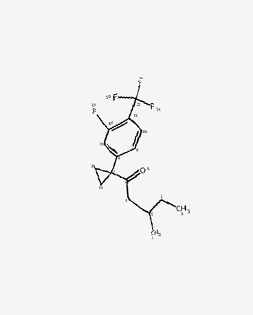 CCC(C)CC(=O)C1(c2ccc(C(F)(F)F)c(F)c2)CC1